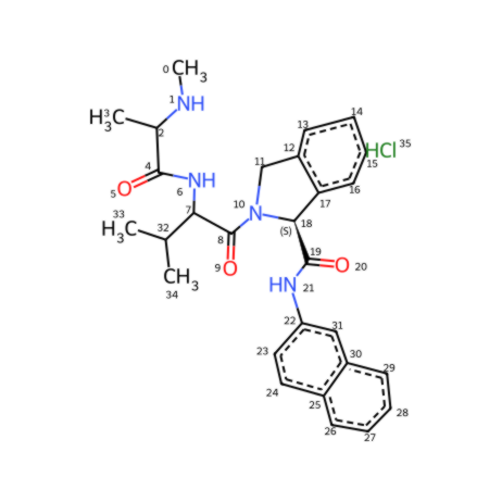 CNC(C)C(=O)NC(C(=O)N1Cc2ccccc2[C@H]1C(=O)Nc1ccc2ccccc2c1)C(C)C.Cl